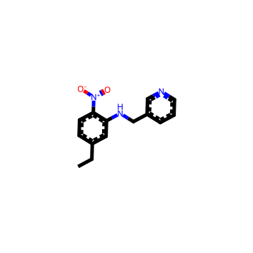 CCc1ccc([N+](=O)[O-])c(NCc2cccnc2)c1